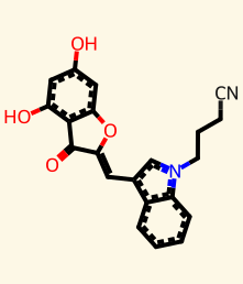 N#CCCCn1cc(C=C2Oc3cc(O)cc(O)c3C2=O)c2ccccc21